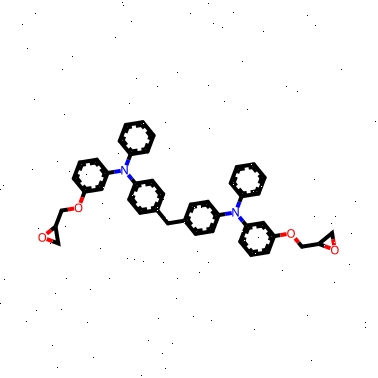 c1ccc(N(c2ccc(Cc3ccc(N(c4ccccc4)c4cccc(OCC5CO5)c4)cc3)cc2)c2cccc(OCC3CO3)c2)cc1